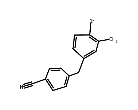 Cc1cc(Cc2ccc(C#N)cc2)ccc1Br